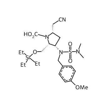 CC[Si](CC)(CC)OC[C@H]1[C@@H](N(Cc2ccc(OC)cc2)S(=O)(=O)N(C)C)C[C@@H](CC#N)N1C(=O)O